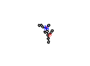 c1ccc(-c2ccc(-c3ccc(-c4ccc(-c5nc(-c6ccccc6)nc(-c6ccc7c(ccc8ccccc87)c6)n5)c5ccccc45)c4c3oc3cc5ccccc5cc34)cc2)cc1